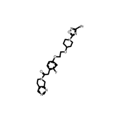 CC(C)c1noc(N2CCC(OCCOc3ccc(CC(=O)N4CCc5cncnc5C4)c(F)c3)CC2)n1